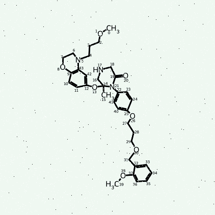 COCCCN1CCOc2ccc(OC3(C)CNCC(=O)N3c3ccc(OCCCOCc4ccccc4OC)cc3)cc21